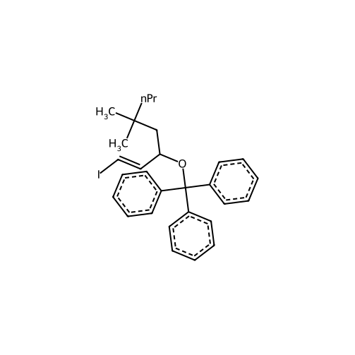 CCCC(C)(C)CC(C=CI)OC(c1ccccc1)(c1ccccc1)c1ccccc1